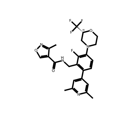 Cc1cc(-c2ccc(N3CCO[C@@H](C(F)(F)F)C3)c(F)c2CNC(=O)c2conc2C)cc(C)n1